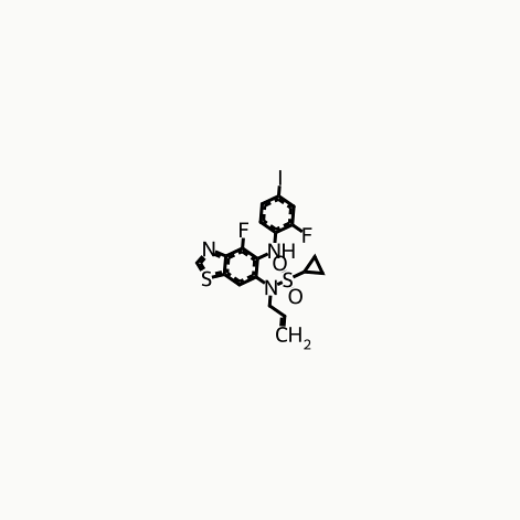 C=CCN(c1cc2scnc2c(F)c1Nc1ccc(I)cc1F)S(=O)(=O)C1CC1